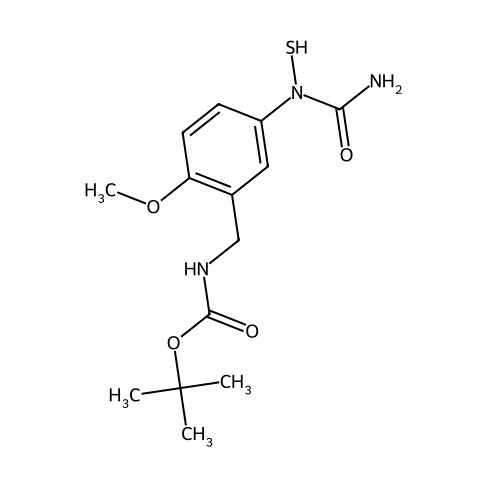 COc1ccc(N(S)C(N)=O)cc1CNC(=O)OC(C)(C)C